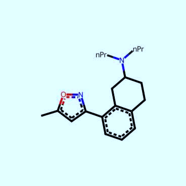 CCCN(CCC)C1CCc2cccc(-c3cc(C)on3)c2C1